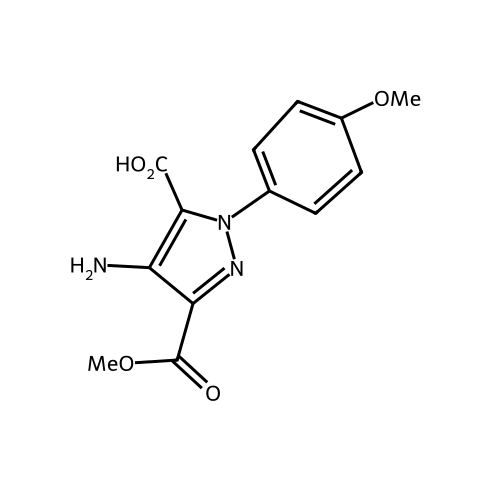 COC(=O)c1nn(-c2ccc(OC)cc2)c(C(=O)O)c1N